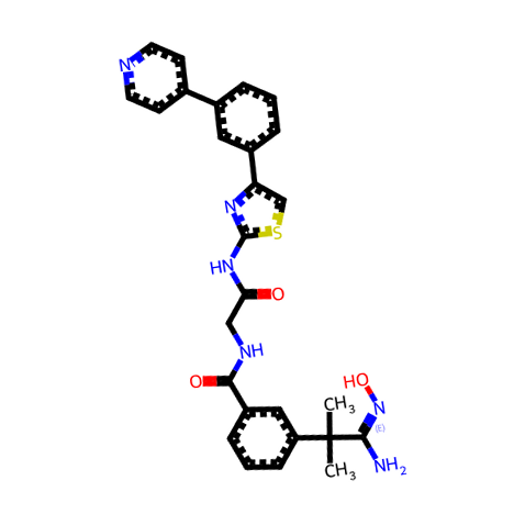 CC(C)(/C(N)=N\O)c1cccc(C(=O)NCC(=O)Nc2nc(-c3cccc(-c4ccncc4)c3)cs2)c1